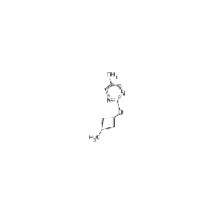 Cc1cnc(OC2CC(C)C2)nc1